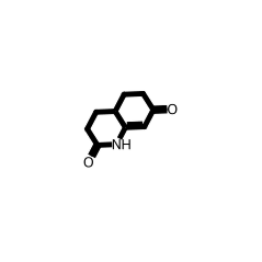 O=C1C=C2NC(=O)CCC2CC1